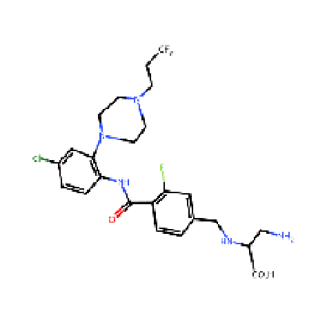 NCC(NCc1ccc(C(=O)Nc2ccc(Cl)cc2N2CCN(CCC(F)(F)F)CC2)c(F)c1)C(=O)O